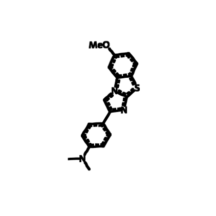 COc1ccc2sc3nc(-c4ccc(N(C)C)cc4)cn3c2c1